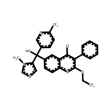 Cn1cncc1C(O)(c1ccc(C(F)(F)F)nc1)c1ccc2nc(OCC(F)(F)F)c(-c3ccccc3)c(Cl)c2c1